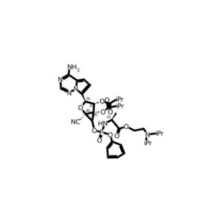 CC(C)C(=O)O[C@H]1[C@H](c2ccc3c(N)ncnn23)O[C@]2(C#N)C(OP(=O)(N[C@@H](C)C(=O)OCCN(C(C)C)C(C)C)Oc3ccccc3)[C@]12OC(=O)C(C)C